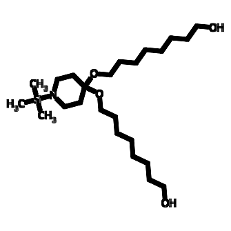 C[Si](C)(C)N1CCC(OCCCCCCCCO)(OCCCCCCCCO)CC1